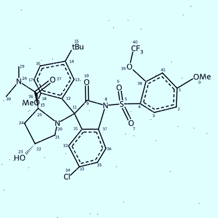 COc1ccc(S(=O)(=O)N2C(=O)C(c3cc(C(C)(C)C)ccc3OC)(N3C[C@H](O)C[C@H]3C(=O)N(C)C)c3cc(Cl)ccc32)c(OC(F)(F)F)c1